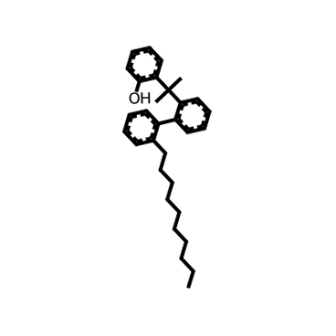 CCCCCCCCCCc1ccccc1-c1ccccc1C(C)(C)c1ccccc1O